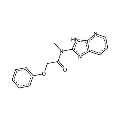 CN(C(=O)COc1ccccc1)c1nc2cccnc2[nH]1